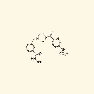 CC(C)(C)NC(=O)c1cccc(CN2CCN(C(=O)c3cnc(NC(=O)O)cn3)CC2)c1